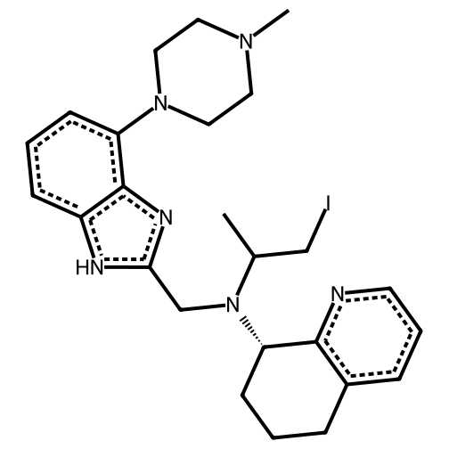 CC(CI)N(Cc1nc2c(N3CCN(C)CC3)cccc2[nH]1)[C@H]1CCCc2cccnc21